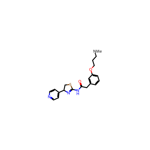 CNCCCOc1cccc(CC(=O)NC2=NC(c3ccncc3)CS2)c1